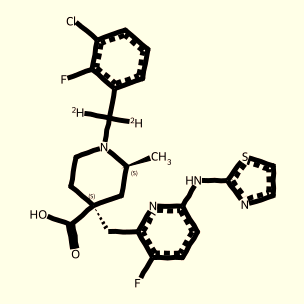 [2H]C([2H])(c1cccc(Cl)c1F)N1CC[C@](Cc2nc(Nc3nccs3)ccc2F)(C(=O)O)C[C@@H]1C